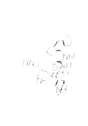 CN1CCCC(N(c2cnn(C)c2)S(=O)(=O)NC(=O)Nc2c3c(cc4c2CCC4)CCC3)C1.[NaH]